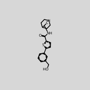 O=C(NC1CN2CCC1CC2)c1ccc(-c2cccc(CO)c2)s1